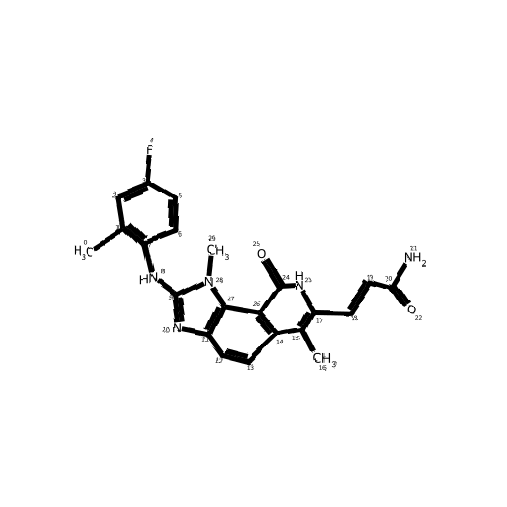 Cc1cc(F)ccc1Nc1nc2ccc3c(C)c(C=CC(N)=O)[nH]c(=O)c3c2n1C